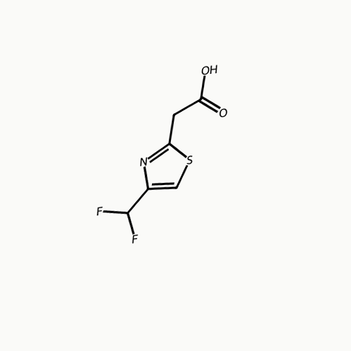 O=C(O)Cc1nc(C(F)F)cs1